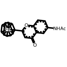 CC(=O)Nc1ccc2oc([C]34[CH]5[CH]6[CH]7[CH]3[Fe]6754389%10[CH]4[CH]3[CH]8[CH]9[CH]4%10)cc(=O)c2c1